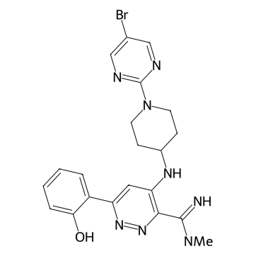 CNC(=N)c1nnc(-c2ccccc2O)cc1NC1CCN(c2ncc(Br)cn2)CC1